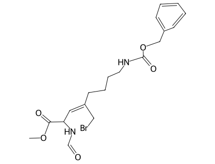 COC(=O)C(/C=C(\CBr)CCCCNC(=O)OCc1ccccc1)NC=O